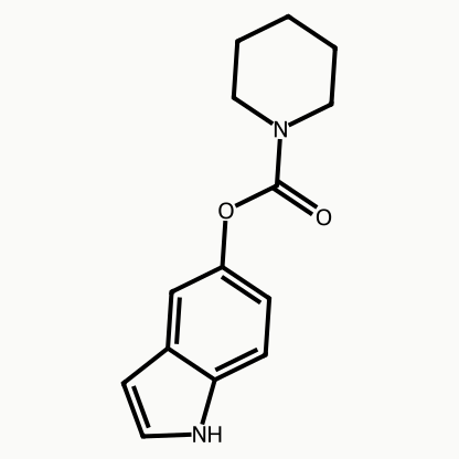 O=C(Oc1ccc2[nH]ccc2c1)N1CCCCC1